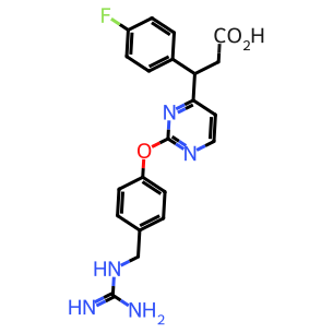 N=C(N)NCc1ccc(Oc2nccc(C(CC(=O)O)c3ccc(F)cc3)n2)cc1